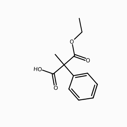 CCOC(=O)C(C)(C(=O)O)c1ccccc1